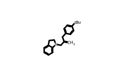 C=C(Cc1ccc(C(C)(C)C)cc1)CN1CCc2ccccc21